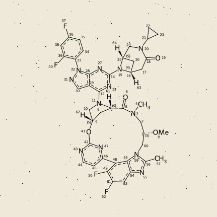 CO[C@H]1CN(C)C(=O)[C@@H]2C[C@@H](CN2c2nc(N3[C@H]4CC(=O)N(C5CC5)C[C@@H]3C4)nc3c2cnn3-c2ccc(F)cc2F)Oc2nccc(n2)-c2c(F)c(F)cc3nc(C)n(c23)C1